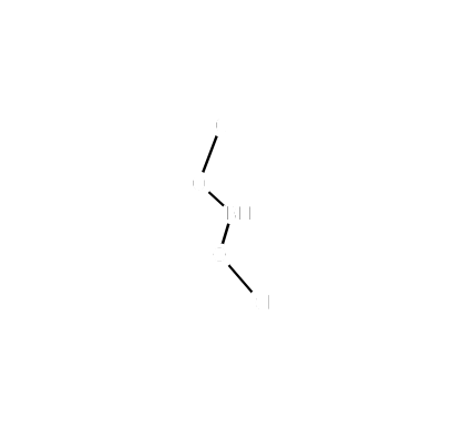 ClOBOCl